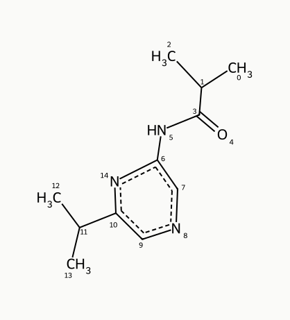 CC(C)C(=O)Nc1cncc(C(C)C)n1